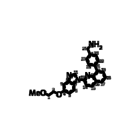 COCCOc1ccc2c(c1)ncn2-c1ccc2cccc(-c3ccc(CN)cc3)c2n1